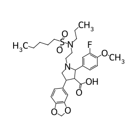 CCCCCS(=O)(=O)N(CCC)CCN1CC(c2ccc3c(c2)OCO3)C(C(=O)O)C1c1ccc(OC)c(F)c1